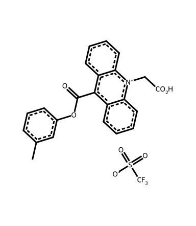 Cc1cccc(OC(=O)c2c3ccccc3[n+](CC(=O)O)c3ccccc23)c1.O=S(=O)([O-])C(F)(F)F